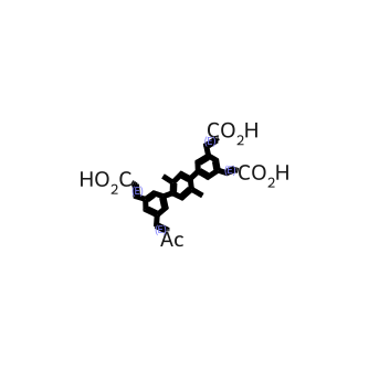 CC(=O)/C=C/c1cc(/C=C/C(=O)O)cc(-c2cc(C)c(-c3cc(/C=C/C(=O)O)cc(/C=C/C(=O)O)c3)cc2C)c1